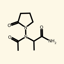 CC(=O)N(C(C)C(N)=O)N1CCCC1=O